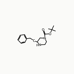 CC(C)(C)OC(=O)N1CCNC(CCc2ccccc2)C1